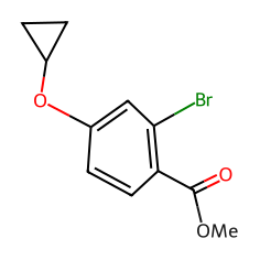 COC(=O)c1ccc(OC2CC2)cc1Br